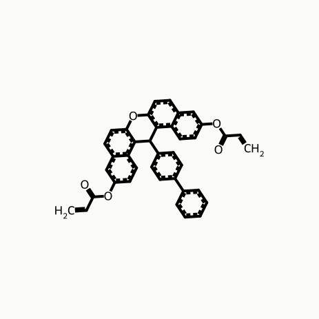 C=CC(=O)Oc1ccc2c3c(ccc2c1)Oc1ccc2cc(OC(=O)C=C)ccc2c1C3c1ccc(-c2ccccc2)cc1